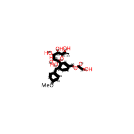 COc1ccc(Cc2ccc(COC(=O)CO)cc2[C@@]2(O)O[C@H]([C@H](C)O)[C@@H](O)[C@H](O)[C@H]2O)cc1